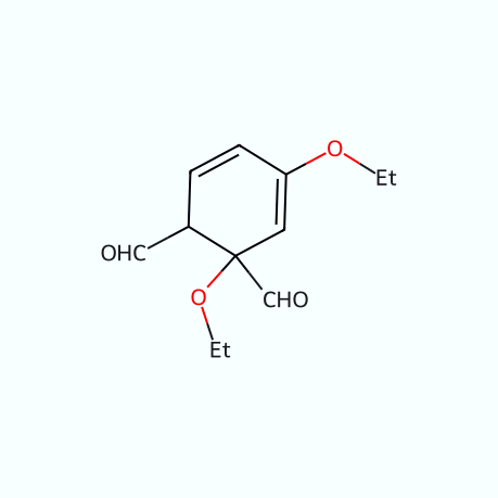 CCOC1=CC(C=O)(OCC)C(C=O)C=C1